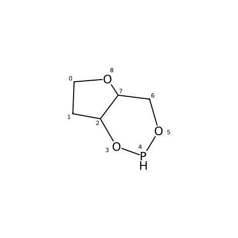 C1CC2OPOCC2O1